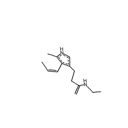 C=C(CCc1c[nH]c(C)c1/C=C\C)NCC